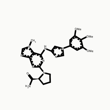 COc1cc(-n2cnc(Nc3nc(N4CCC[C@H]4C(N)=O)nc4ncn(C)c34)c2)cc(OC)c1OC